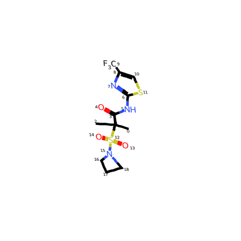 CC(C)(C(=O)Nc1nc(C(F)(F)F)cs1)S(=O)(=O)N1CCC1